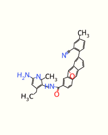 CCc1cc(N)nc(C)c1CNC(=O)c1ccc2c(c1)c1oc2c2ccc(-c3ccc(C)cc3C#N)cc21